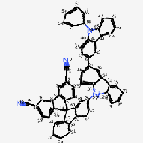 N#Cc1ccc2c(c1)-c1cc(C#N)ccc1C21c2ccccc2-c2ccc(-n3c4ccccc4c4cc(-c5ccc6c(c5)c5ccccc5n6-c5ccccc5)ccc43)cc21